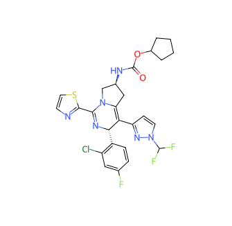 O=C(N[C@H]1CC2=C(c3ccn(C(F)F)n3)[C@H](c3ccc(F)cc3Cl)N=C(c3nccs3)N2C1)OC1CCCC1